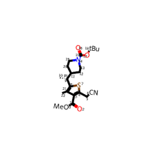 COC(=O)c1c(CC#N)sc([C@H](C)C2CCN(C(=O)OC(C)(C)C)CC2)c1C